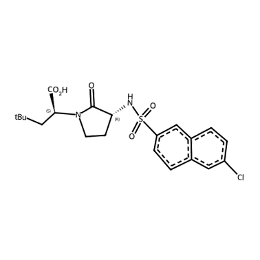 CC(C)(C)C[C@@H](C(=O)O)N1CC[C@@H](NS(=O)(=O)c2ccc3cc(Cl)ccc3c2)C1=O